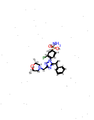 CC(c1ccccc1)c1nc(CN2C[C@@H](C)O[C@@H](C)C2)nn1-c1ccc(S(N)(=O)=O)cc1F